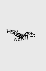 CCOc1ccc(NC(=N)N(C#N)c2ccc3nc(S)sc3c2)cc1